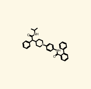 CC(C)NC(=O)C(c1ccccc1)C1CCN(c2ccc(NC(=O)c3ccccc3-c3ccccc3)cc2)CC1